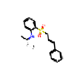 C[C@H](Nc1ccccc1S(=O)(=O)CC=Cc1ccccc1)C(=O)O